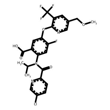 COCc1cnc(Oc2cc(C(=O)O)c(N(C(=O)c3ccc(Cl)cn3)C(C)C)cc2F)c(C(F)(F)F)c1